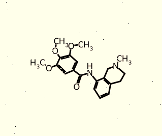 COc1cc(C(=O)Nc2cccc3c2CN(C)CC3)cc(OC)c1OC